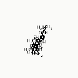 CN(C)CCNC(=O)c1cccc(-c2cc(N(C)C)c3c(c2O)C(=O)C2=C(O)[C@]4(O)C(=O)C(C(N)=O)=C(N=O)[C@@H](N(C)C)[C@@H]4C[C@@H]2C3)c1